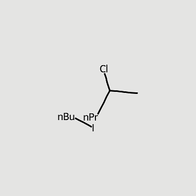 CCCC(C)Cl.CCCCI